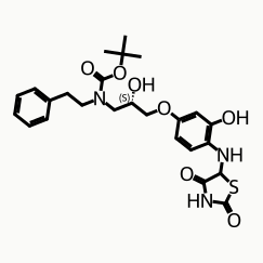 CC(C)(C)OC(=O)N(CCc1ccccc1)C[C@H](O)COc1ccc(NC2SC(=O)NC2=O)c(O)c1